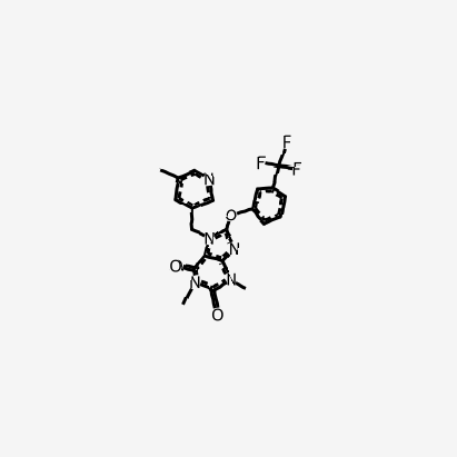 Cc1cncc(Cn2c(Oc3cccc(C(F)(F)F)c3)nc3c2c(=O)n(C)c(=O)n3C)c1